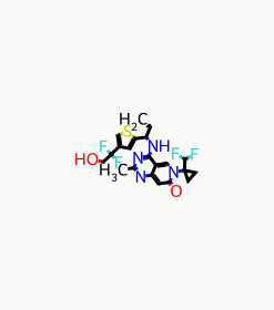 C=CC(Nc1nc(C)nc2cc(=O)n(C3(C(F)F)CC3)cc12)c1cc(C(F)(F)CO)cs1